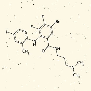 Cc1cc(I)ccc1Nc1c(C(=O)NCCCN(C)C)cc(Br)c(F)c1F